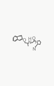 CC(COc1ccc2ccccc2c1)NCC(=O)N1CCCC1C#N